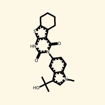 Cn1cc(C(C)(C)O)c2cc(-n3c(=O)[nH]c4sc5c(c4c3=O)CCCC5)ccc21